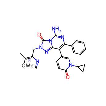 C=N/C(Cn1nc2c(-c3ccc(=O)n(C4CC4)c3)c(-c3ccccc3)nc(N)n2c1=O)=C(/C)OC